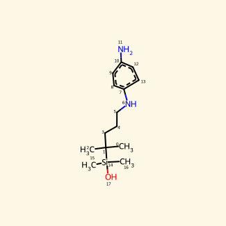 CC(C)(CCCNc1ccc(N)cc1)[Si](C)(C)O